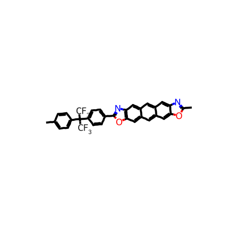 Cc1ccc(C(c2ccc(-c3nc4cc5cc6cc7nc(C)oc7cc6cc5cc4o3)cc2)(C(F)(F)F)C(F)(F)F)cc1